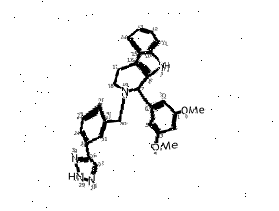 COc1cc(OC)cc(C2c3[nH]c4ccccc4c3CCN2Cc2cccc(-c3cn[nH]n3)c2)c1